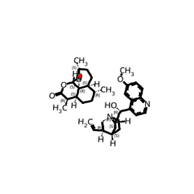 C=C[C@H]1C[N@]2CC[C@H]1C[C@H]2[C@H](O)c1ccnc2ccc(OC)cc12.C[C@@H]1CC[C@H]2[C@@H](C)C(=O)O[C@@H]3O[C@]4(C)CC[C@@H]1[C@]32OO4